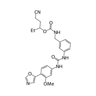 CCC(CCC#N)OC(=O)NCc1cccc(NC(=O)Nc2ccc(-c3cnco3)c(OC)c2)c1